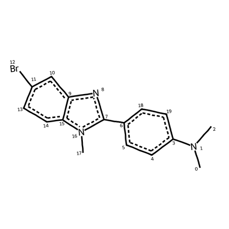 CN(C)c1ccc(-c2nc3cc(Br)ccc3n2C)cc1